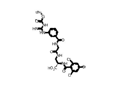 CC(C)(C)OC(=O)NC(=N)Nc1cccc(C(=O)NCC(=O)NC[C@H](NC(=O)c2c(Cl)cc(Br)cc2Cl)C(=O)O)c1